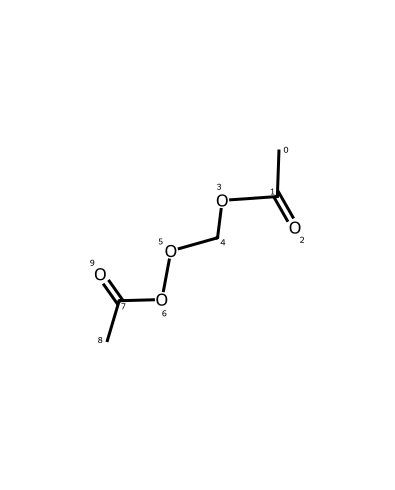 CC(=O)OCOOC(C)=O